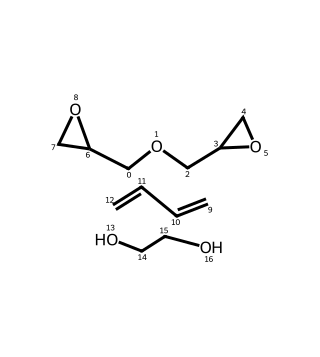 C(OCC1CO1)C1CO1.C=CC=C.OCCO